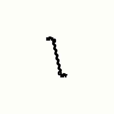 CCCOCCCCCCCCCCCCOCCC